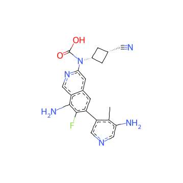 Cc1c(N)cncc1-c1cc2cc(N(C(=O)O)[C@H]3C[C@@H](C#N)C3)ncc2c(N)c1F